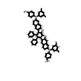 Cc1cc(C)cc(N(c2ccc(C(C)C)cc2)c2ccc3cc4c(cc3c2)oc2c3oc5cc6cc(N(c7ccc(C(C)C)cc7)c7cc(C)cc(C)c7)ccc6cc5c3c(-c3ccccc3)c(-c3ccccc3)c42)c1